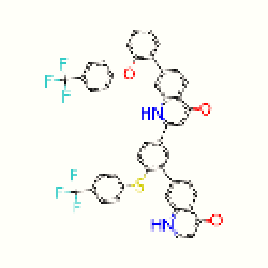 O=c1cc[nH]c2cc(-c3cc(-c4cc(=O)c5ccc(-c6ccccc6Oc6ccc(C(F)(F)F)cc6)cc5[nH]4)ccc3Sc3ccc(C(F)(F)F)cc3)ccc12